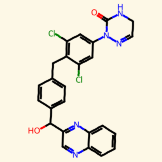 O=C1NCC=NN1c1cc(Cl)c(Cc2ccc(C(O)c3cnc4ccccc4n3)cc2)c(Cl)c1